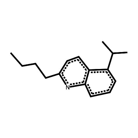 CCCCc1ccc2c(C(C)C)cccc2n1